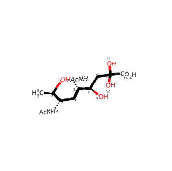 CC(=O)N[C@@H](C[C@H](NC(C)=O)[C@@H](C)O)[C@H](O)CC(O)(O)C(=O)O